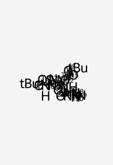 CC(C)(C)OC(=O)Nc1nc(C(=NOC(C)(C)C(=O)OC(C)(C)C)C(=O)N[C@@H]2C(=O)N[C@H]2Cn2cncn2)ns1